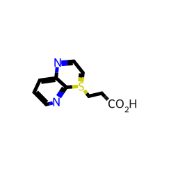 O=C(O)CCS1=CC=Nc2cccnc21